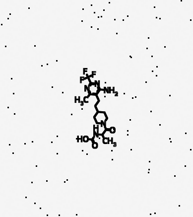 Cc1nc(C(F)(F)F)nc(N)c1CCC1CCN(C(=O)C(C)NC(=O)O)CC1